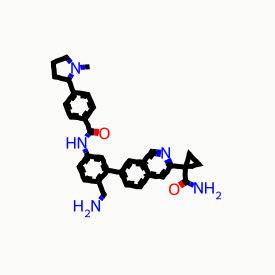 CN1CCCC1c1ccc(C(=O)Nc2ccc(CN)c(-c3ccc4cc(C5(C(N)=O)CC5)ncc4c3)c2)cc1